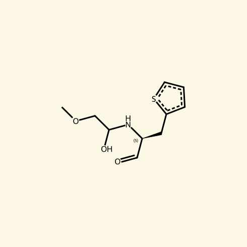 COCC(O)N[C@H](C=O)Cc1cccs1